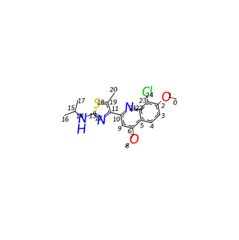 COc1ccc2c(OC)cc(-c3nc(NC(C)C)sc3C)nc2c1Cl